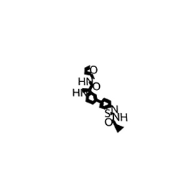 O=C(NCc1ccco1)c1c[nH]c2ccc(-c3ccc4nc(NC(=O)C5CC5)sc4c3)cc12